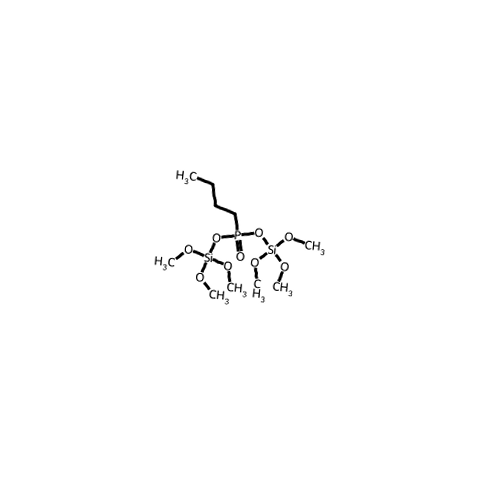 CCCCP(=O)(O[Si](OC)(OC)OC)O[Si](OC)(OC)OC